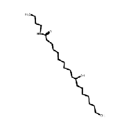 CCCCCCCCC(O)CCCCCCCCCC(=O)NCCCC